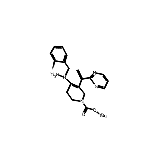 C=C(C1=C(N(N)Cc2ccccc2F)CCN(C(=O)OC(C)(C)C)C1)c1ncccn1